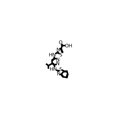 CC(C)c1cc(Nc2nc(C(=O)O)cs2)nnc1Nc1nc2ccccc2s1